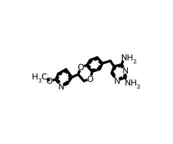 COc1ccc(C2COc3cc(Cc4cnc(N)nc4N)ccc3O2)cn1